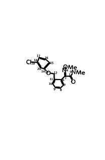 CNC(=O)C(=NOC)c1ccccc1COc1cccc(Cl)c1